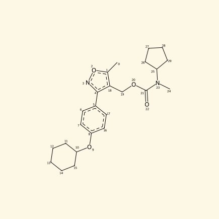 Cc1onc(-c2ccc(OC3CCCCC3)cc2)c1COC(=O)N(C)C1CCCC1